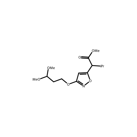 COC(=O)C(c1cc(OCCC(OC)OC)no1)C(C)C